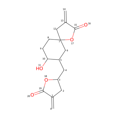 C=C1CC(CC2CC3(CCC2O)CC(=C)C(=O)O3)OC1=O